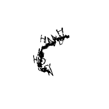 CCCCNC(=O)/C=C(\C)N(C)CCNCCCCc1ccc(C(=O)N[C@H]2C(C)(C)[C@H](Oc3ccc(C#N)c(Cl)c3)C2(C)C)cn1